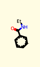 CCNC(=O)c1c[c]ccc1